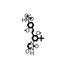 COc1cc(NS(C)(=O)=O)ccc1C=Cc1cc(-n2ccc(=O)[nH]c2=O)cc(C(C)(C)C)c1OC